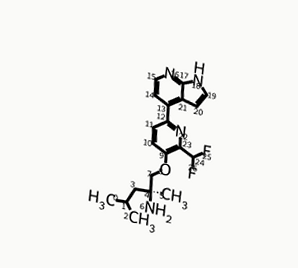 CC(C)C[C@](C)(N)COc1ccc(-c2ccnc3[nH]ccc23)nc1C(F)F